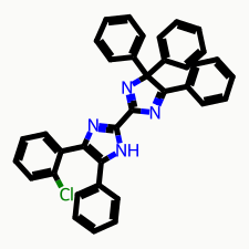 Clc1ccccc1-c1nc(C2=NC(c3ccccc3)(c3ccccc3)C(c3ccccc3)=N2)[nH]c1-c1ccccc1